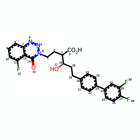 O=C(O)C(CCn1nnc2cccc(F)c2c1=O)[C@H](O)CCc1ccc(-c2ccc(F)c(F)c2)cc1